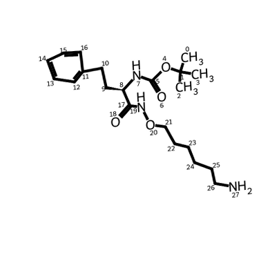 CC(C)(C)OC(=O)N[C@H](CCc1ccccc1)C(=O)NOCCCCCCN